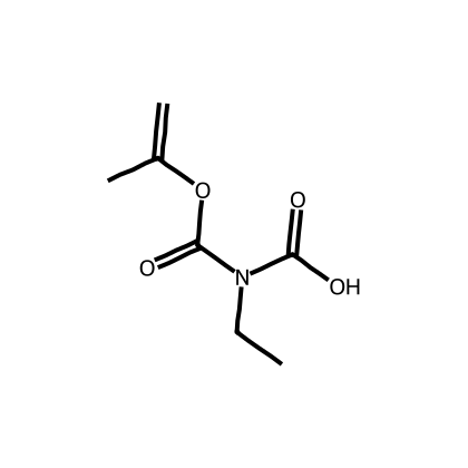 C=C(C)OC(=O)N(CC)C(=O)O